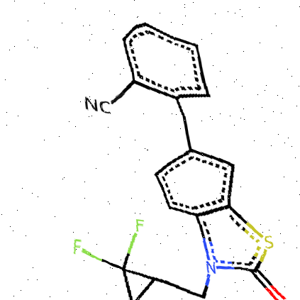 N#Cc1ccccc1-c1ccc2c(c1)sc(=O)n2CC1CC1(F)F